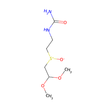 COC(C[S+]([O-])CCNC(N)=O)OC